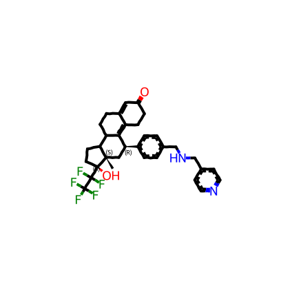 C[C@]12C[C@H](c3ccc(CNCc4ccncc4)cc3)C3=C4CCC(=O)C=C4CCC3C1CC[C@@]2(O)C(F)(F)C(F)(F)F